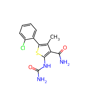 Cc1c(-c2ccccc2Cl)sc(NC(N)=O)c1C(N)=O